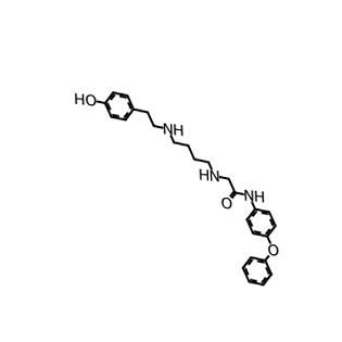 O=C(CNCCCCNCCc1ccc(O)cc1)Nc1ccc(Oc2ccccc2)cc1